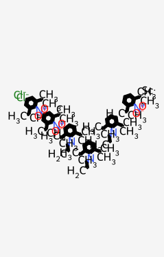 C=CC=Nc1c(C(C)C)cccc1C(C)C.C=CC=Nc1c(C(C)C)cccc1C(C)C.C=CC=Nc1c(C(C)C)cccc1C(C)C.CC(C)c1cccc(C(C)C)c1[N+](=O)[O-].CC(C)c1cccc(C(C)C)c1[N+](=O)[O-].CC(C)c1cccc(C(C)C)c1[N+](=O)[O-].[Cl-].[Cl-].[Sc]